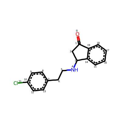 O=C1CC(NCCc2ccc(Cl)cc2)c2ccccc21